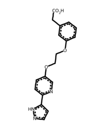 O=C(O)Cc1cccc(OCCOc2ccc(-c3ccn[nH]3)nc2)c1